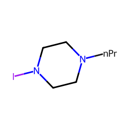 CCCN1CCN(I)CC1